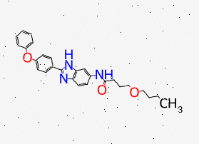 CCCCOCCCC(=O)Nc1ccc2nc(-c3ccc(Oc4ccccc4)cc3)[nH]c2c1